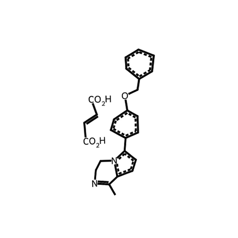 CC1=NCCn2c1ccc2-c1ccc(OCc2ccccc2)cc1.O=C(O)/C=C/C(=O)O